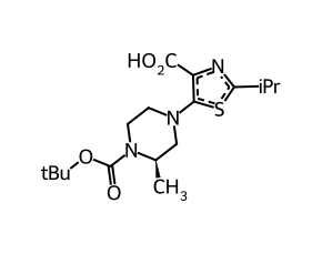 CC(C)c1nc(C(=O)O)c(N2CCN(C(=O)OC(C)(C)C)[C@H](C)C2)s1